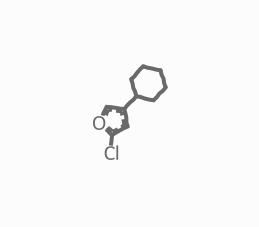 Clc1cc(C2CCCCC2)co1